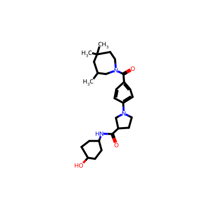 CC1CN(C(=O)c2ccc(N3CCC(C(=O)NC4CCC(O)CC4)C3)cc2)CCC(C)(C)C1